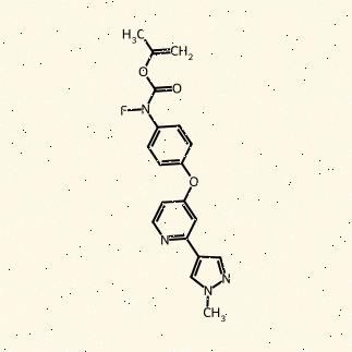 C=C(C)OC(=O)N(F)c1ccc(Oc2ccnc(-c3cnn(C)c3)c2)cc1